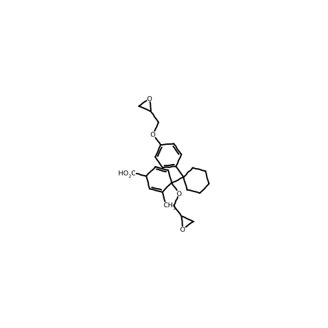 CC1=CC(C(=O)O)C=CC1(OCC1CO1)C1(c2ccc(OCC3CO3)cc2)CCCCC1